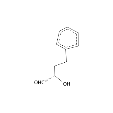 O=C[C@@H](O)CCc1ccccc1